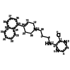 Clc1nccnc1NCCCN1CC=C(c2cccc3ccccc23)CC1